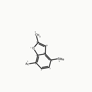 CSc1ccc(C(C)=O)c2oc(C)cc12